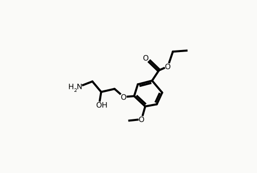 CCOC(=O)c1ccc(OC)c(OCC(O)CN)c1